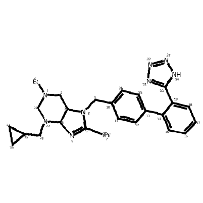 CCN1CC2C(N=C(C(C)C)N2Cc2ccc(-c3ccccc3-c3nnn[nH]3)cc2)N(CC2CC2)C1